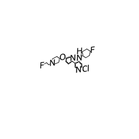 FCCN1CCC(Oc2ccc(-c3cnc(Cl)cc3NC3CCC(F)CC3)nc2)CC1